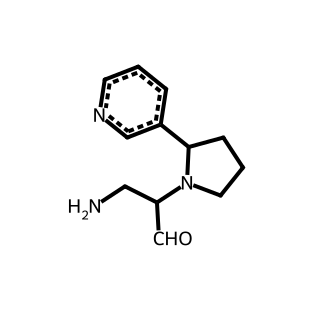 NCC(C=O)N1CCCC1c1cccnc1